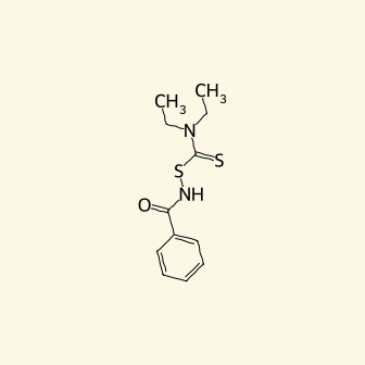 CCN(CC)C(=S)SNC(=O)c1ccccc1